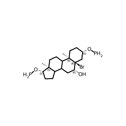 C[C@]12CCC3C(C[C@@H](O)[C@@]4(Br)C[C@@H](OP)CC[C@]34C)C1CC[C@@H]2OP